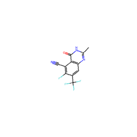 Cc1nc2cc(C(F)(F)F)c(F)c(C#N)c2c(=O)[nH]1